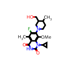 COc1c(N2CCC(C)C(CO)C2)c(F)c(C)c2c(=O)[nH]c(=O)n(C3CC3)c12